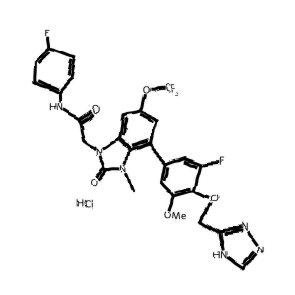 COc1cc(-c2cc(OC(F)(F)F)cc3c2n(C)c(=O)n3CC(=O)Nc2ccc(F)cc2)cc(F)c1OCc1nnc[nH]1.Cl